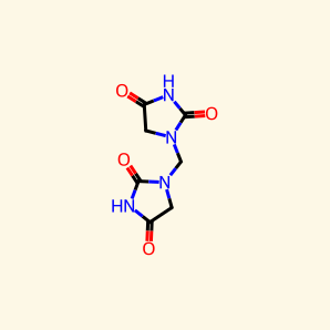 O=C1CN(CN2CC(=O)NC2=O)C(=O)N1